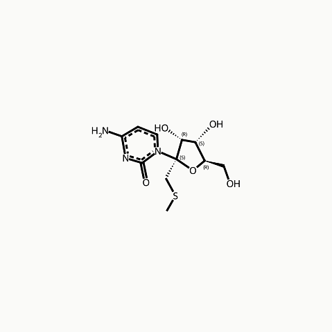 CSC[C@@]1(n2ccc(N)nc2=O)O[C@H](CO)[C@@H](O)[C@H]1O